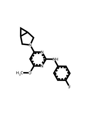 COc1cc(N2CC3CC3C2)nc(Nc2ccc(F)cc2)n1